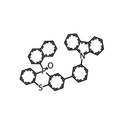 O=P1(c2cccc3ccccc23)c2ccccc2Sc2ccc(-c3cccc(-n4c5ccccc5c5ccccc54)c3)cc21